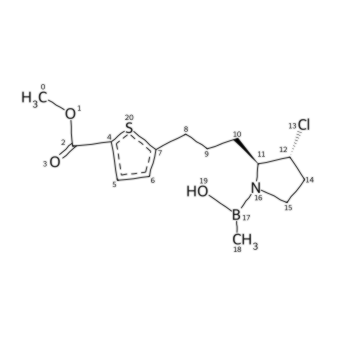 COC(=O)c1ccc(CCC[C@H]2[C@H](Cl)CCN2B(C)O)s1